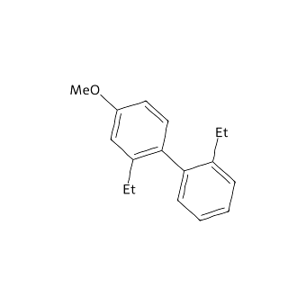 CCc1ccccc1-c1ccc(OC)cc1CC